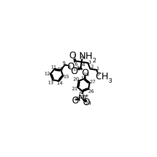 CCCCC(N)(C(=O)OCc1ccccc1)C(=O)Oc1ccc([N+](=O)[O-])cc1